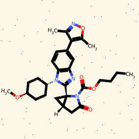 CCCCOC(=O)N1C(=O)C[C@@H]2C[C@@]21c1nc2cc(-c3c(C)noc3C)ccc2n1[C@H]1CC[C@H](OC)CC1